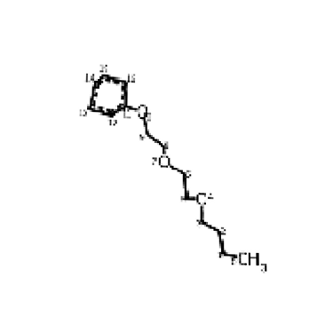 CCCCOCCOCCOc1ccccc1